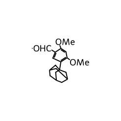 COc1cc(OC)c(C23CC4CC(CC(C4)C2)C3)cc1[C]=O